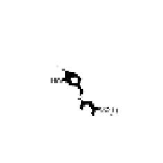 CC(=CC(C)OCC1CC2CC1C(O)C2O)C(=O)O